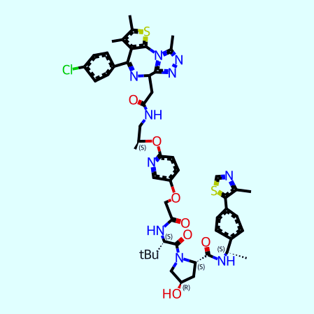 Cc1ncsc1-c1ccc([C@H](C)NC(=O)[C@@H]2C[C@@H](O)CN2C(=O)[C@@H](NC(=O)COc2ccc(O[C@@H](C)CNC(=O)CC3N=C(c4ccc(Cl)cc4)c4c(sc(C)c4C)-n4c(C)nnc43)nc2)C(C)(C)C)cc1